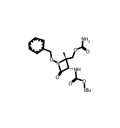 CC(C)(C)OC(=O)N[C@@H]1C(=O)N(OCc2ccccc2)[C@]1(C)COC(N)=O